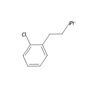 C[C](C)CCc1ccccc1Cl